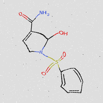 NC(=O)C1=CCN(S(=O)(=O)c2ccccc2)C1O